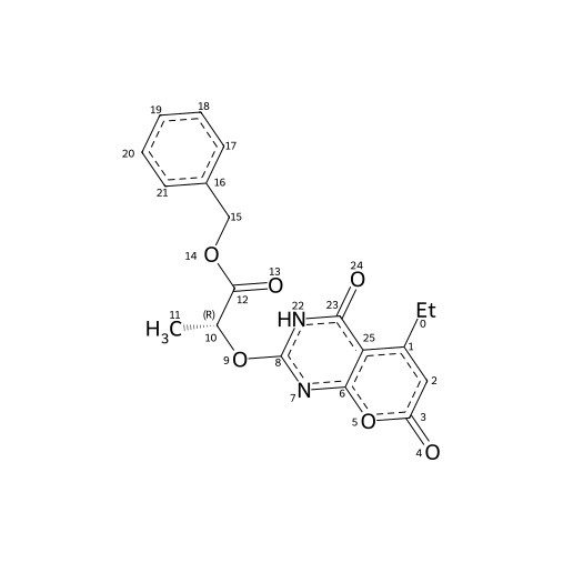 CCc1cc(=O)oc2nc(O[C@H](C)C(=O)OCc3ccccc3)[nH]c(=O)c12